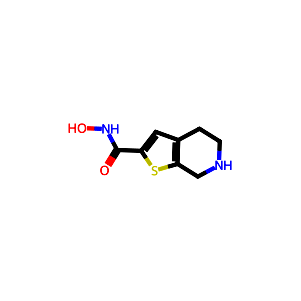 O=C(NO)c1cc2c(s1)CNCC2